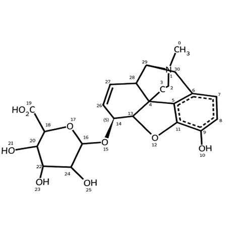 CN1CCC23c4c5ccc(O)c4OC2[C@@H](OC2OC(C(=O)O)C(O)C(O)C2O)C=CC3C1C5